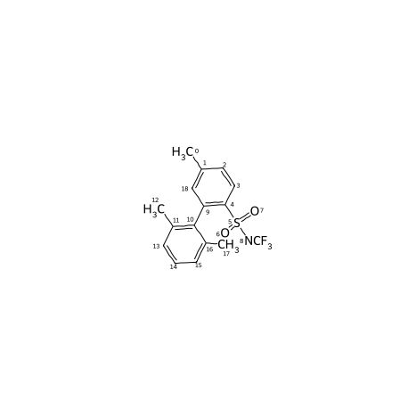 Cc1ccc(S(=O)(=O)NC(F)(F)F)c(-c2c(C)cccc2C)c1